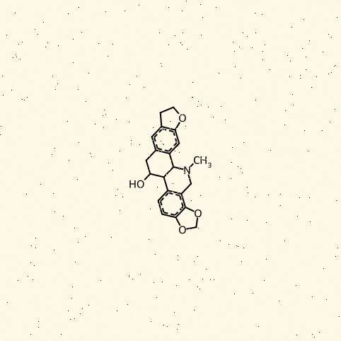 CN1Cc2c(ccc3c2OCO3)C2C(O)Cc3cc4c(cc3C21)OCC4